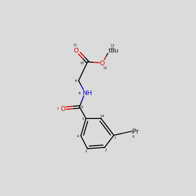 CC(C)c1cccc(C(=O)NCC(=O)OC(C)(C)C)c1